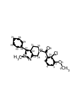 COc1cccc(C(=O)N2CCc3c(nn(C)c3-c3ccccc3)C2)c1Cl